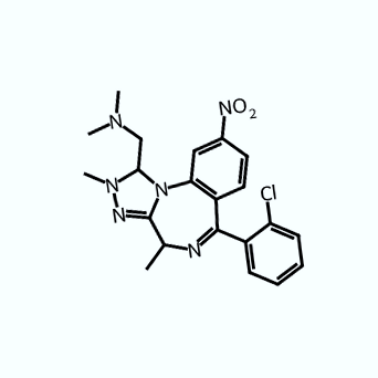 CC1N=C(c2ccccc2Cl)c2ccc([N+](=O)[O-])cc2N2C1=NN(C)C2CN(C)C